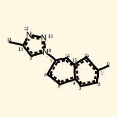 Cc1ccc2ccc(-n3cc(C)nn3)cc2c1